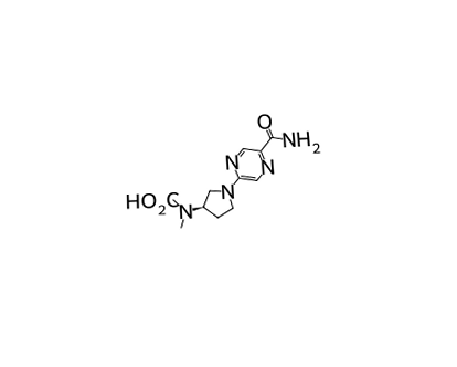 CN(C(=O)O)[C@@H]1CCN(c2cnc(C(N)=O)cn2)C1